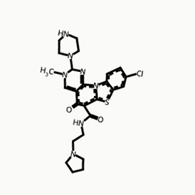 CN1C=c2c(=O)c(C(=O)NCCN3CCCC3)c3sc4cc(Cl)ccc4n3c2=NC1N1CCNCC1